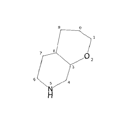 C1COC2CNCCC2C1